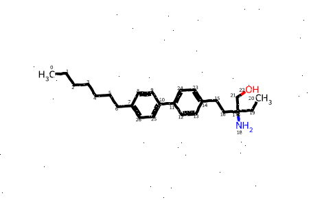 CCCCCCCc1ccc(-c2ccc(CCC(N)(CC)CO)cc2)cc1